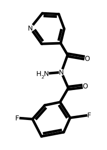 NN(C(=O)c1cccnc1)C(=O)c1cc(F)ccc1F